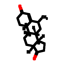 CCC12CC[C@H]3[C@@H](CC(C)C4=CC(=O)CC[C@@H]43)[C@@H]1CCC2=O